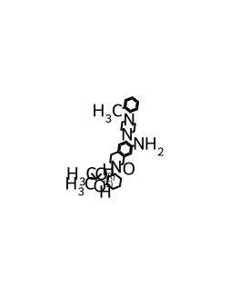 Cc1ccccc1N1CCN(c2cc3c(cc2N)C(=O)N(C2CCC[C@@H]4OC(C)(C)O[C@H]24)CC3)CC1